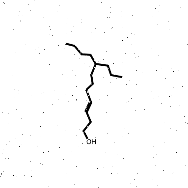 CCCCC(CCC)CCCC=CCCO